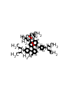 C=CCN(CC=C)c1ccc(-c2[c]([AlH2])ccc(N(c3ccc(N(CC=C)CC=C)cc3)c3ccc(N(CC=C)CC=C)cc3)c2-c2ccc(N(CC=C)CC=C)cc2)cc1